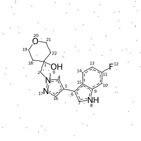 OC1(Cn2cc(-c3c[nH]c4cc(F)ccc34)cn2)CCOCC1